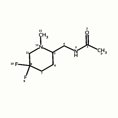 CC(=O)NCC1CCC(F)(F)CN1C